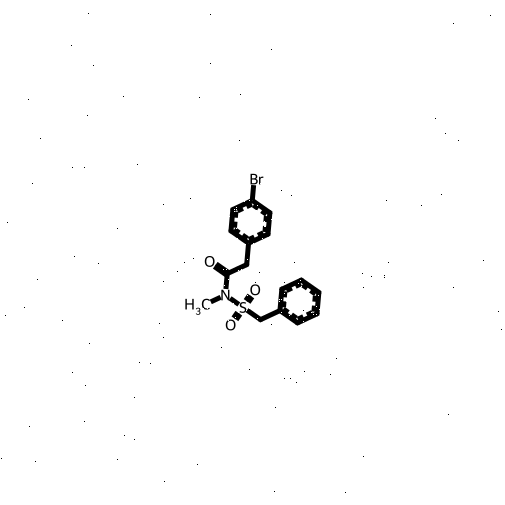 CN(C(=O)Cc1ccc(Br)cc1)S(=O)(=O)Cc1ccccc1